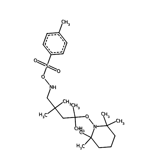 Cc1ccc(S(=O)(=O)ONCC(C)(C)CC(C)(C)ON2C(C)(C)CCCC2(C)C)cc1